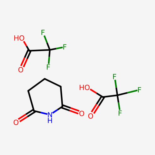 O=C(O)C(F)(F)F.O=C(O)C(F)(F)F.O=C1CCCC(=O)N1